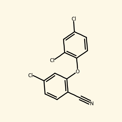 N#Cc1ccc(Cl)cc1Oc1ccc(Cl)cc1Cl